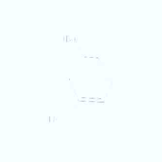 CC(C)(C)c1cccc(S(=O)(=O)O)c1